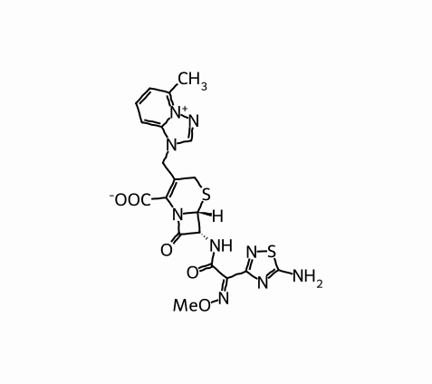 CO/N=C(\C(=O)N[C@@H]1C(=O)N2C(C(=O)[O-])=C(Cn3cn[n+]4c(C)cccc34)CS[C@H]12)c1nsc(N)n1